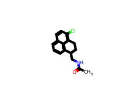 CC(=O)NCC1CCc2c(Cl)ccc3cccc1c23